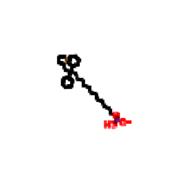 OP(O)OCCCCCCCCCCCCC(Cc1cccs1)(c1ccccc1)c1ccccc1